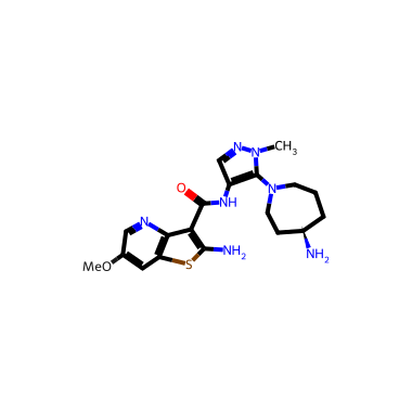 COc1cnc2c(C(=O)Nc3cnn(C)c3N3CCC[C@@H](N)CC3)c(N)sc2c1